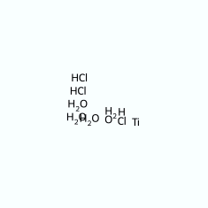 Cl.Cl.Cl.O.O.O.O.[Ti]